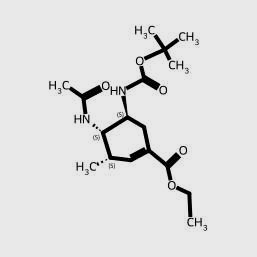 CCOC(=O)C1=C[C@H](C)[C@H](NC(C)=O)[C@@H](NC(=O)OC(C)(C)C)C1